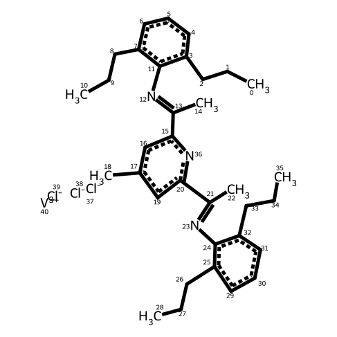 CCCc1cccc(CCC)c1N=C(C)c1cc(C)cc(C(C)=Nc2c(CCC)cccc2CCC)n1.[Cl-].[Cl-].[Cl-].[V+3]